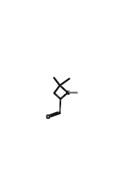 CN1C(C=O)CC1(C)C